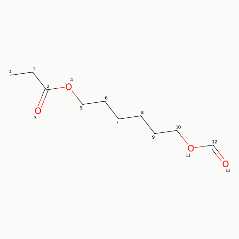 CCC(=O)OCCCCCCOC=O